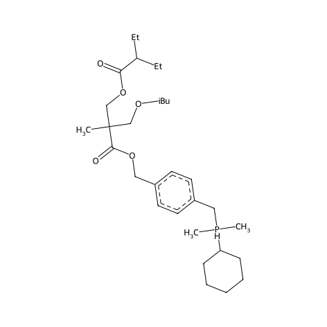 CCC(C)OCC(C)(COC(=O)C(CC)CC)C(=O)OCc1ccc(C[PH](C)(C)C2CCCCC2)cc1